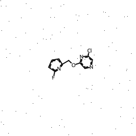 Fc1cccc(COc2cncc(Cl)n2)n1